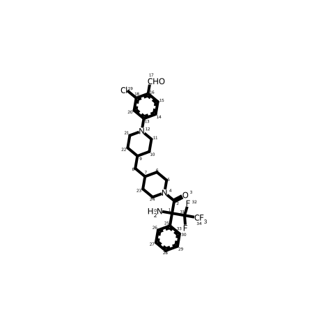 NC(C(=O)N1CCC(CC2CCN(c3ccc(C=O)c(Cl)c3)CC2)CC1)(c1ccccc1)C(F)(F)C(F)(F)F